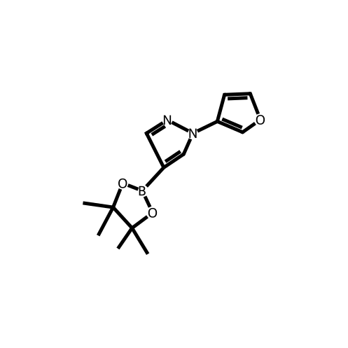 CC1(C)OB(c2cnn(-c3ccoc3)c2)OC1(C)C